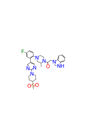 CC1CN(c2ccc(F)cc2-c2cnc(N3CCC(S(C)(=O)=O)CC3)nc2)CCN1C(=O)CN1CNc2ccccc21